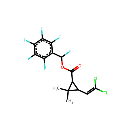 CC1(C)C(C=C(Cl)Cl)C1C(=O)OC(F)c1c(F)c(F)c(F)c(F)c1F